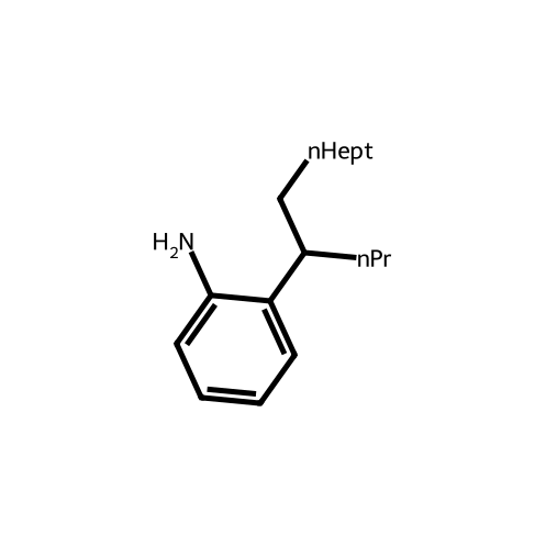 CCCCCCCCC(CCC)c1ccccc1N